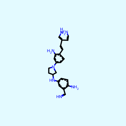 N=Cc1cc(NC2CCN(c3ccc(/C=C/C(/C=C\N)=C/N)c(N)c3)C2)ccc1N